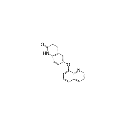 O=C1CCc2cc(Oc3cccc4cccnc34)ccc2N1